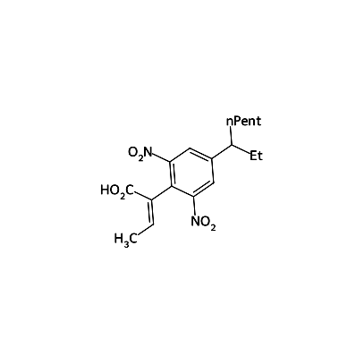 CC=C(C(=O)O)c1c([N+](=O)[O-])cc(C(CC)CCCCC)cc1[N+](=O)[O-]